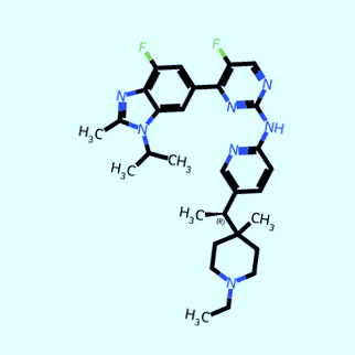 CCN1CCC(C)([C@@H](C)c2ccc(Nc3ncc(F)c(-c4cc(F)c5nc(C)n(C(C)C)c5c4)n3)nc2)CC1